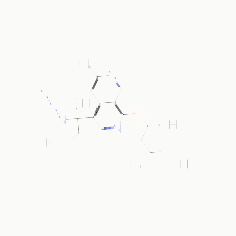 CC[C@@](C)(N=[N+]=[N-])c1cnc(O[C@H](C)C[C@@H](C)SC)c2cnc(Cl)cc12